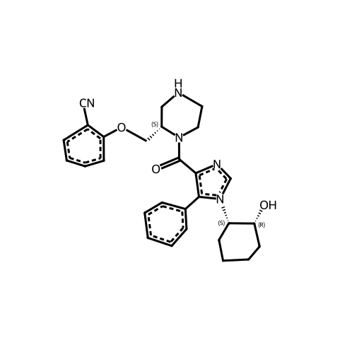 N#Cc1ccccc1OC[C@@H]1CNCCN1C(=O)c1ncn([C@H]2CCCC[C@H]2O)c1-c1ccccc1